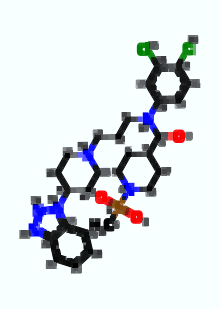 CS(=O)(=O)N1CCC(C(=O)N(CCCN2CCC(n3nnc4ccccc43)CC2)c2ccc(Cl)c(Cl)c2)CC1